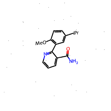 COc1ccc(C(C)C)cc1-c1ncccc1C(N)=O